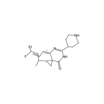 C=C/C=C1/N=C(C2CCNCC2)NC(=O)C12CC2C(C)CC(F)CC